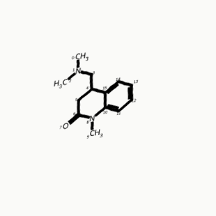 CN(C)CC1CC(=O)N(C)c2ccccc21